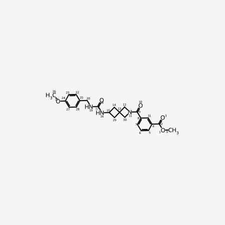 COC(=O)c1cccc(C(=O)N2CC3(CC(NC(=O)NCc4ccc(OC)cc4)C3)C2)c1